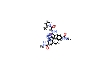 CCNC(=O)c1ccc2c(c1)CCc1cc(C(=O)NCC)ccc1C2(C[C@@H](C)NCC(=O)N1CCC[C@H]1C#N)c1nnn[nH]1